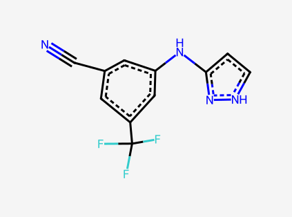 N#Cc1cc(Nc2cc[nH]n2)cc(C(F)(F)F)c1